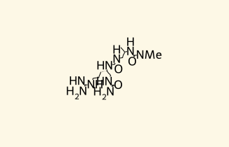 CNC(=O)NC(C)CNC(=O)N[C@@H](CCCNC(=N)N)CNC(N)=O